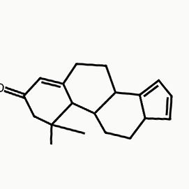 CC1(C)CC(=O)C=C2CCC3C4=CC=CC4CCC3C21